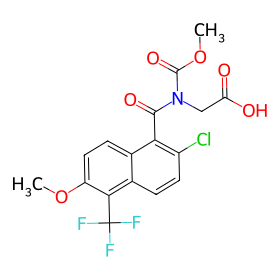 COC(=O)N(CC(=O)O)C(=O)c1c(Cl)ccc2c(C(F)(F)F)c(OC)ccc12